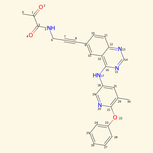 CC(=O)C(=O)NCC#Cc1ccc2ncnc(Nc3cnc(Oc4ccccc4)c(C)c3)c2c1